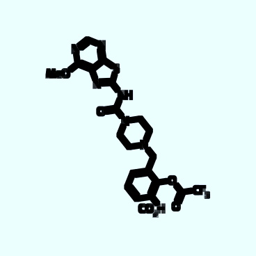 COc1ncnc2sc(NC(=O)N3CCN(Cc4cccc(C(=O)O)c4OC(=O)C(F)(F)F)CC3)nc12